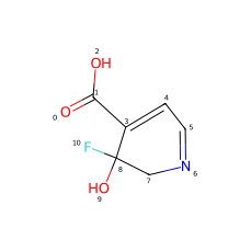 O=C(O)C1=CC=NCC1(O)F